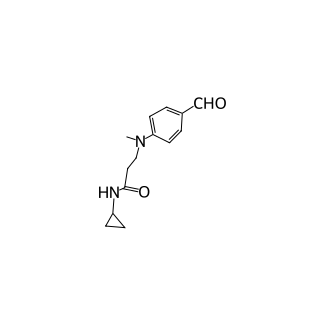 CN(CCC(=O)NC1CC1)c1ccc(C=O)cc1